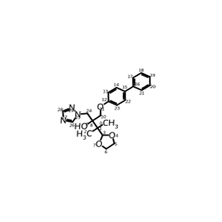 CC(C)(C1OCCO1)C(O)(COc1ccc(-c2ccccc2)cc1)Cn1cncn1